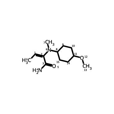 CC=C(C(N)=O)N(C)C1CCC(OC)CC1